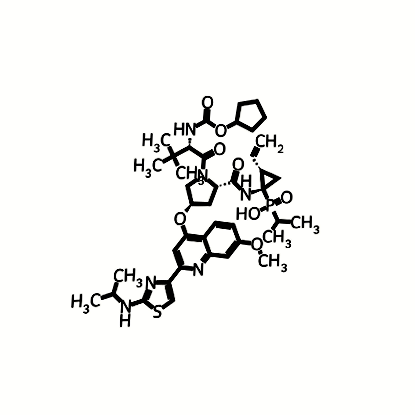 C=C[C@@H]1C[C@]1(NC(=O)[C@@H]1C[C@@H](Oc2cc(-c3csc(NC(C)C)n3)nc3cc(OC)ccc23)CN1C(=O)[C@@H](NC(=O)OC1CCCC1)C(C)(C)C)P(=O)(O)C(C)C